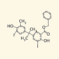 Cc1cc(C(C)(C)c2cc(I)c(O)c(C(=O)OCc3ccccc3)c2)cc(I)c1O